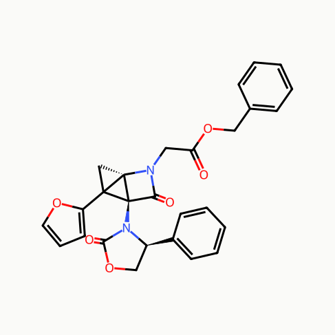 O=C(CN1C(=O)[C@]2(N3C(=O)OC[C@@H]3c3ccccc3)C3(c4ccco4)C[C@@]132)OCc1ccccc1